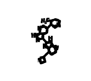 Cc1ccncc1-c1cnc2[nH]nc(-c3nc4c(-c5ccsc5)ccnc4[nH]3)c2c1